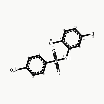 O=[N+]([O-])c1ccc(S(=O)(=O)Nc2cc(Cl)ccc2Cl)cc1